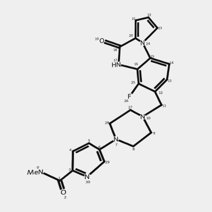 CNC(=O)c1ccc(N2CCN(Cc3ccc4c([nH]c(=O)c5cccn54)c3F)CC2)cn1